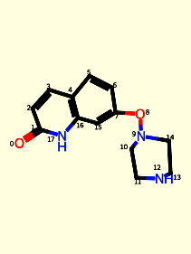 O=c1ccc2ccc(ON3CCNCC3)cc2[nH]1